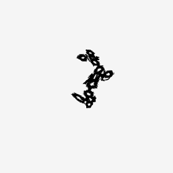 CC1(C)C2CCCCC2N(C2CCCCC2)C2CCC(C3CCC4C(C3)C(C)(C)C3CC(C5CCC6C(C5)C(C)(C)C5CCCCC5N6C5CCCCC5)CCC3N4C3CCCCC3)CC21